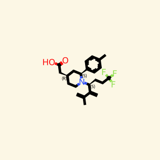 C=C(C)C(=C)[C@H](CCC(F)(F)F)N1CC[C@@H](CC(=O)O)C[C@H]1c1ccc(C)cc1